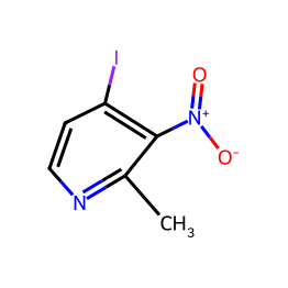 Cc1nccc(I)c1[N+](=O)[O-]